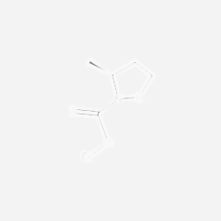 CCOC(=O)N1OCC[C@@H]1C